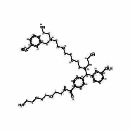 NCCOCCOCCNC(=O)c1ccc(C(c2cccc(C(=O)O)n2)N(CCO)CCOCCOCCN(CCO)Cc2cccc(C(=O)O)n2)cc1